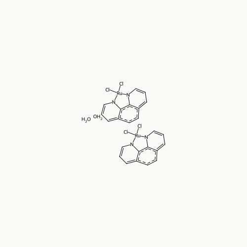 O.O.[Cl][Ru]1([Cl])[N]2C=CC=c3ccc4c(c32)[N]1C=CC=4.[Cl][Ru]1([Cl])[N]2C=CC=c3ccc4c(c32)[N]1C=CC=4